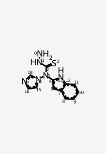 NNC(=S)N(c1cc2ccccc2[nH]1)n1ccnc1